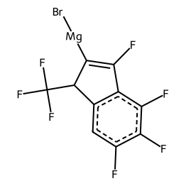 FC1=[C]([Mg][Br])C(C(F)(F)F)c2cc(F)c(F)c(F)c21